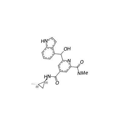 CNC(=O)c1cc(C(=O)N[C@H]2C[C@@H]2C)cc(C(O)c2cccc3[nH]ccc23)n1